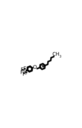 CCCCCCC12CCC(COc3ccc(S(F)(F)(F)(F)F)cc3)(CC1)CC2